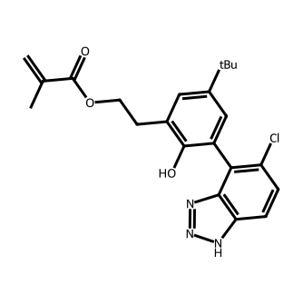 C=C(C)C(=O)OCCc1cc(C(C)(C)C)cc(-c2c(Cl)ccc3[nH]nnc23)c1O